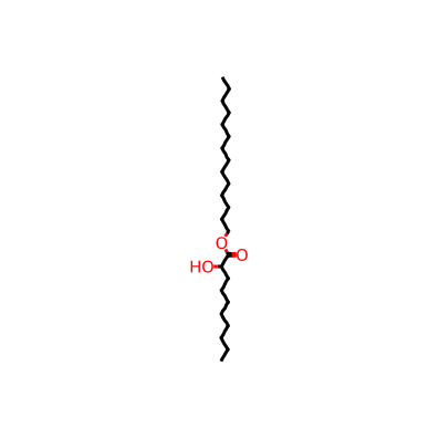 CCCCCCCCCCCCCCOC(=O)C(O)CCCCCCCC